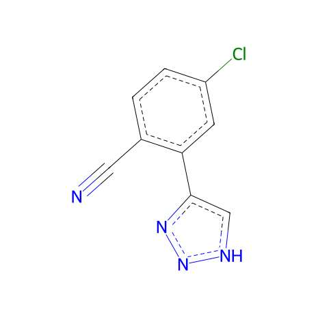 N#Cc1ccc(Cl)cc1-c1c[nH]nn1